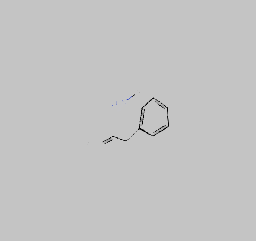 C=CCc1ccccc1.CC(N)=O